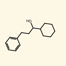 OC(CCc1ccccc1)C1CCCCC1